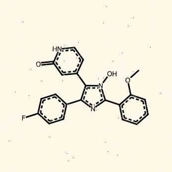 COc1ccccc1-c1nc(-c2ccc(F)cc2)c(-c2cc[nH]c(=O)c2)n1O